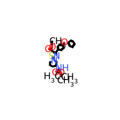 CCOC(=O)c1sc(N2CCC[C@@H](NC(=O)OC(C)(C)C)C2)nc1-c1ccc(Oc2ccccc2)cc1